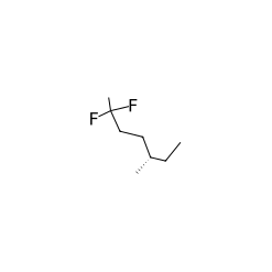 CC[C@H](C)CCC(C)(F)F